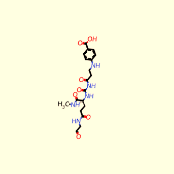 CNC(=O)[C@H](CCC(=O)NCC=O)NC(=O)NC(=O)CCNc1ccc(C(=O)O)cc1